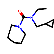 CCN(CC1CC1)C(=O)N1CCCCC1